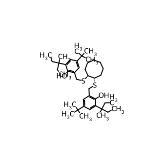 CCC(C)(CC)c1cc(C(C)(C)C)cc(CS[C@H]2CCCCCC[C@@H]2SCc2cc(C(C)(C)C)cc(C(C)(CC)CC)c2O)c1O